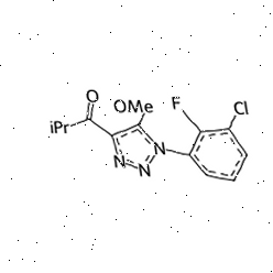 COc1c(C(=O)C(C)C)nnn1-c1cccc(Cl)c1F